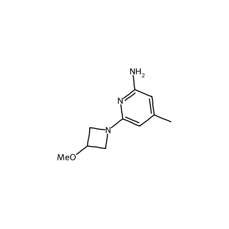 COC1CN(c2cc(C)cc(N)n2)C1